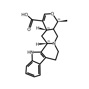 C[C@@H]1OC=C(C(=O)O)[C@H]2C[C@H]3c4[nH]c5ccccc5c4CCN3CC12